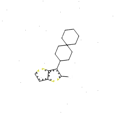 Cc1sc2ccsc2c1C1CCC2(CCCCC2)CC1